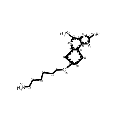 CCCc1nc2c(N)nc3cc(OCCCCCCN)ccc3c2s1